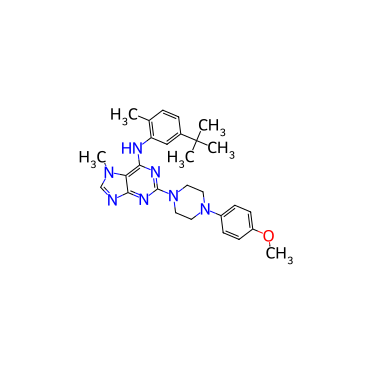 COc1ccc(N2CCN(c3nc(Nc4cc(C(C)(C)C)ccc4C)c4c(ncn4C)n3)CC2)cc1